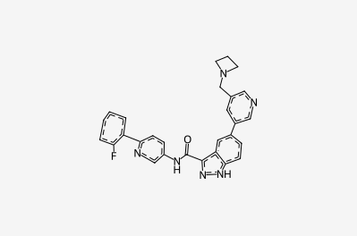 O=C(Nc1ccc(-c2ccccc2F)nc1)c1n[nH]c2ccc(-c3cncc(CN4CCC4)c3)cc12